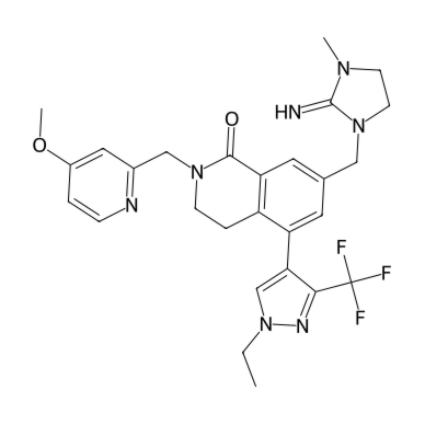 CCn1cc(-c2cc(CN3CCN(C)C3=N)cc3c2CCN(Cc2cc(OC)ccn2)C3=O)c(C(F)(F)F)n1